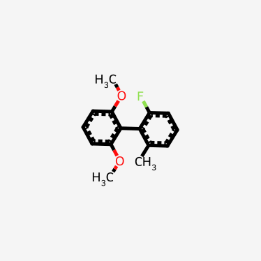 COc1cccc(OC)c1-c1c(C)cccc1F